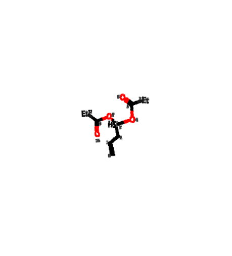 C=CC[SiH](OC(=O)CC)OC(=O)CC